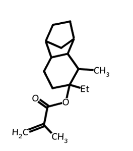 C=C(C)C(=O)OC1(CC)CCC2C3CCC(C3)C2C1C